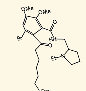 CCCCCCCCCCCCCCCC(=O)c1c(Br)cc(OC)c(OC)c1C(=O)NCC1CCCN1CC